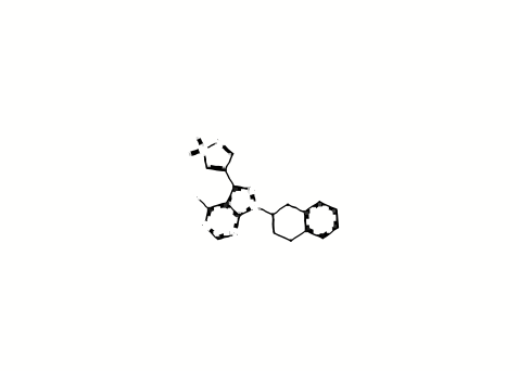 Nc1ncnc2c1c(C1=CS(=O)(=O)N=C1)nn2C1CCc2ccccc2C1